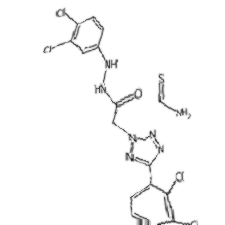 NC=S.O=C(Cn1nnc(-c2cccc(Cl)c2Cl)n1)NNc1ccc(Cl)c(Cl)c1